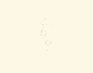 OCC1S[C@]2(OCc3ccc(Cc4ccc(OC5CCCC5)cc4)cc32)[C@H](O)C(O)[C@@H]1O